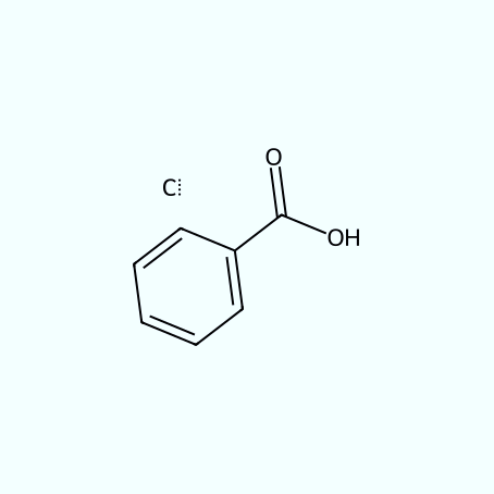 O=C(O)c1ccccc1.[C]